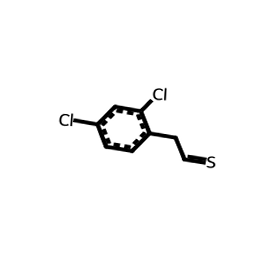 S=CCc1ccc(Cl)cc1Cl